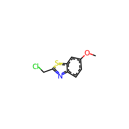 COc1ccc2nc(CCl)sc2c1